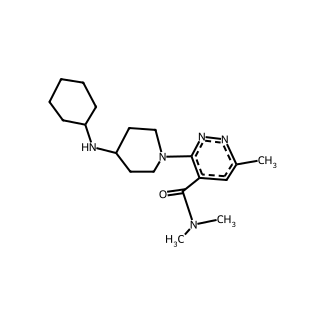 Cc1cc(C(=O)N(C)C)c(N2CCC(NC3CCCCC3)CC2)nn1